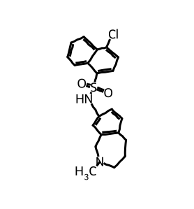 CN1CCCc2ccc(NS(=O)(=O)c3ccc(Cl)c4ccccc34)cc2C1